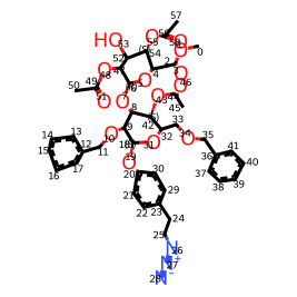 COC(=O)C1O[C@@H](OC2C(OCc3ccccc3)[C@H](Oc3ccc(CCN=[N+]=[N-])cc3)OC(COCc3ccccc3)[C@@H]2OC(C)=O)C(OC(C)=O)C(O)[C@@H]1OC(C)=O